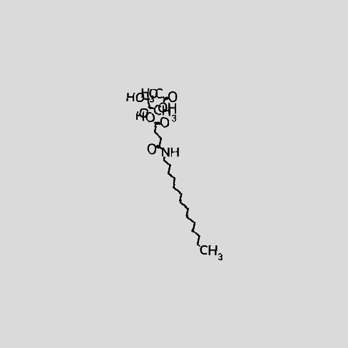 CC(=O)C(=O)O.CC(=O)O.CCCCCCCCCCCCCCNC(=O)CCC(=O)O